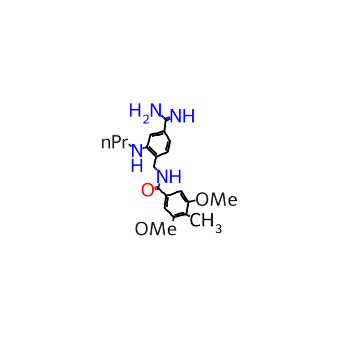 CCCNc1cc(C(=N)N)ccc1CNC(=O)c1cc(OC)c(C)c(OC)c1